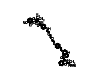 CN[C@@H](C)C(=O)NC(C(=O)N1CC[C@@H]2CCN(CCc3ccc(OCCOCCOCCNc4ccc(C(=O)N[C@H]5C(C)(C)[C@H](Oc6ccc(C#N)c(Cl)c6)C5(C)C)cc4)cc3)C[C@@H]21)C1CCCCC1